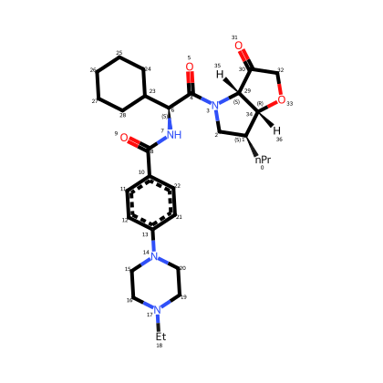 CCC[C@H]1CN(C(=O)[C@@H](NC(=O)c2ccc(N3CCN(CC)CC3)cc2)C2CCCCC2)[C@@H]2C(=O)CO[C@H]12